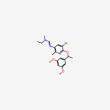 CCN(C)/C=N/c1cc(Br)c(OC(C)c2cc(OC)cc(OC)c2)nc1C